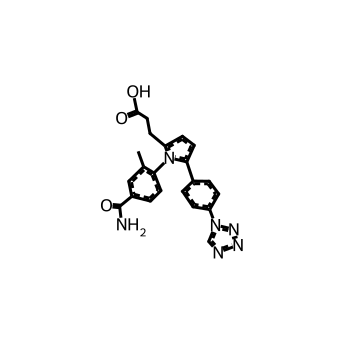 Cc1cc(C(N)=O)ccc1-n1c(CCC(=O)O)ccc1-c1ccc(-n2cnnn2)cc1